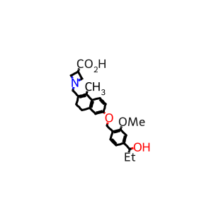 CCC(O)c1ccc(COc2ccc3c(c2)CCC(CN2CC(C(=O)O)C2)=C3C)c(OC)c1